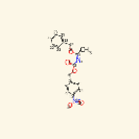 CC(=NC(=O)OCc1ccc([N+](=O)[O-])cc1)OCc1ccccc1